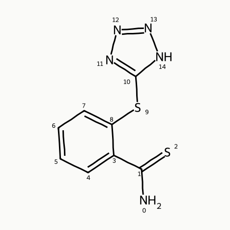 NC(=S)c1ccccc1Sc1nnn[nH]1